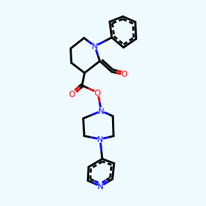 O=C=C1C(C(=O)ON2CCN(c3ccncc3)CC2)CCCN1c1ccccc1